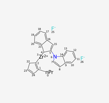 CCCC1=[C]([Zr+2][CH]2C(n3ccc4ccccc43)=Cc3ccccc32)CC=C1.[F-].[F-]